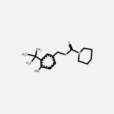 CC(C)(C)c1cc(CSC(=S)N2CCCCC2)c[c]c1O